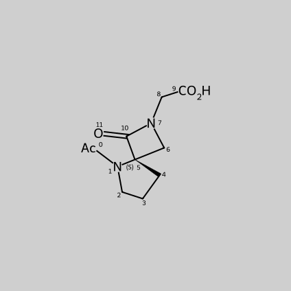 CC(=O)N1CCC[C@@]12CN(CC(=O)O)C2=O